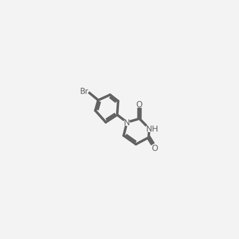 O=c1ccn(-c2ccc(Br)cc2)c(=O)[nH]1